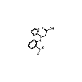 O=C(O)CN(Sc1ccccc1[N+](=O)[O-])c1cccs1